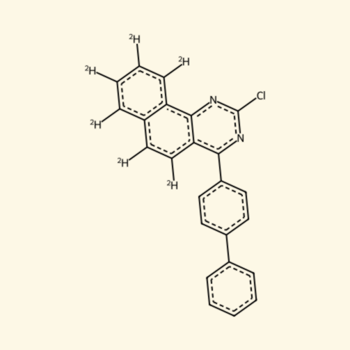 [2H]c1c([2H])c([2H])c2c(c1[2H])c([2H])c([2H])c1c(-c3ccc(-c4ccccc4)cc3)nc(Cl)nc12